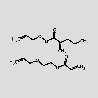 C=CCOCCOC(=O)C=C.C=CCOOC(=O)C(=C)CCC